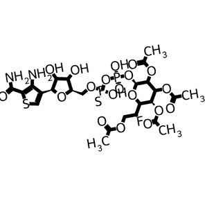 CC(=O)OC[C@H](F)C1O[C@@H](OP(=O)(O)OP(O)(=S)OC[C@H]2O[C@@H](c3csc(C(N)=O)c3N)C(O)C2O)C(OC(C)=O)C(OC(C)=O)[C@@H]1OC(C)=O